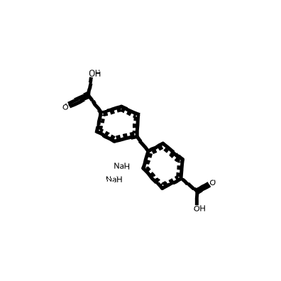 O=C(O)c1ccc(-c2ccc(C(=O)O)cc2)cc1.[NaH].[NaH]